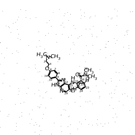 CN(C)CCOc1ccc(-c2nc3c(N[C@H]4[C@@H](C(=O)N(C)C)[C@@H]5C=C[C@H]4C5)c(Cl)cnc3[nH]2)cc1